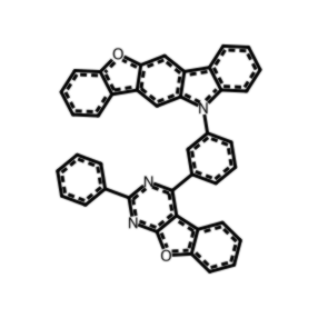 c1ccc(-c2nc(-c3cccc(-n4c5ccccc5c5cc6oc7ccccc7c6cc54)c3)c3c(n2)oc2ccccc23)cc1